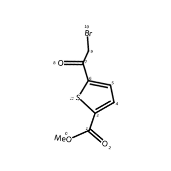 COC(=O)c1ccc(C(=O)CBr)s1